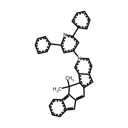 CC1(C)C2=c3ccccc3=CC2=Cc2cc3ccn(-c4cc(-c5ccccc5)nc(-c5ccccc5)c4)cc-3c21